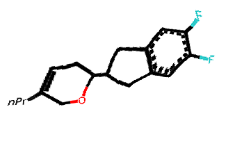 CCCC1=CCC(C2Cc3cc(F)c(F)cc3C2)OC1